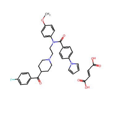 COc1ccc(N(CCN2CCC(C(=O)c3ccc(F)cc3)CC2)C(=O)c2ccc(-n3cccc3)cc2)cc1.O=C(O)C=CC(=O)O